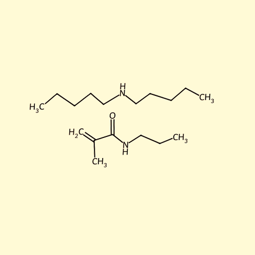 C=C(C)C(=O)NCCC.CCCCCNCCCCC